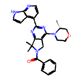 C[C@@H]1COCCN1c1nc(-c2ccnc3[nH]ccc23)nc2c1CN(C(=O)c1ccccc1)C2(C)C